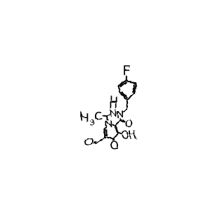 CC1NN(Cc2ccc(F)cc2)C(=O)c2c(O)c(=O)c(C=O)cn21